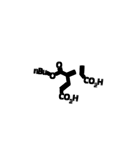 C=C(C=CC(=O)O)C(=O)OCCCC.C=CC(=O)O